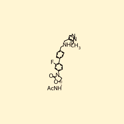 CC(=O)NC[C@H]1CN(c2ccc(-c3ccc(CNCc4cnnn4C)cc3)c(F)c2)C(=O)O1